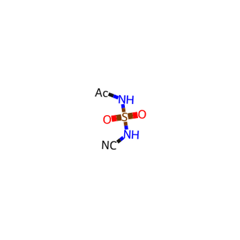 CC(=O)NS(=O)(=O)NC#N